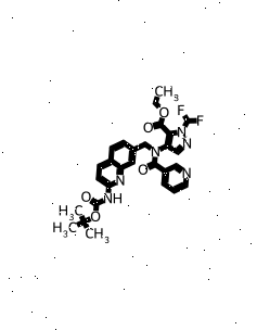 CCOC(=O)c1c(N(Cc2ccc3ccc(NC(=O)OC(C)(C)C)nc3c2)C(=O)c2cccnc2)cnn1C(F)F